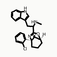 CNC(Cc1c[nH]c2ccccc12)C1=N[C@]2(c3ccccc3Cl)CCC[C@H](O1)C2=O